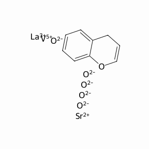 C1=COc2ccccc2C1.[La+3].[O-2].[O-2].[O-2].[O-2].[O-2].[Sr+2].[V+5]